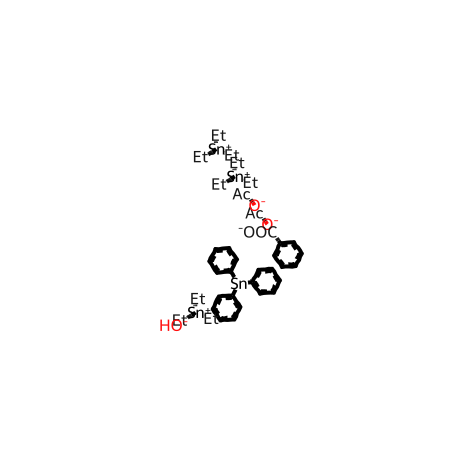 CC(=O)[O-].CC(=O)[O-].C[CH2][Sn+]([CH2]C)[CH2]C.C[CH2][Sn+]([CH2]C)[CH2]C.C[CH2][Sn+]([CH2]C)[CH2]C.O=C([O-])c1ccccc1.[OH-].c1cc[c]([Sn+]([c]2ccccc2)[c]2ccccc2)cc1